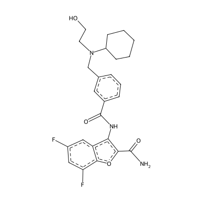 NC(=O)c1oc2c(F)cc(F)cc2c1NC(=O)c1cccc(CN(CCO)C2CCCCC2)c1